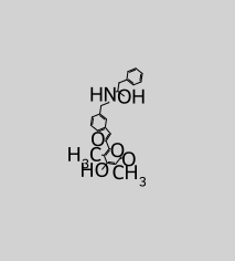 Cc1c(-c2cc3cc(CCNC(O)Cc4ccccc4)ccc3o2)oc(=O)c(C)c1O